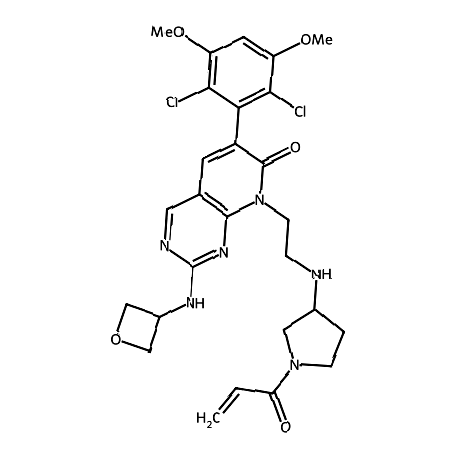 C=CC(=O)N1CCC(NCCn2c(=O)c(-c3c(Cl)c(OC)cc(OC)c3Cl)cc3cnc(NC4COC4)nc32)C1